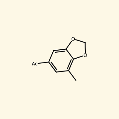 CC(=O)c1cc(C)c2c(c1)OCO2